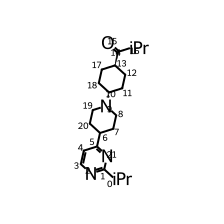 CC(C)c1nccc(C2CCN([C@H]3CC[C@H](C(=O)C(C)C)CC3)CC2)n1